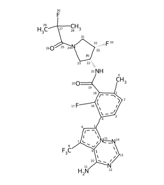 Cc1ccc(-c2cc(C(F)(F)F)c3c(N)ncnn23)c(F)c1C(=O)N[C@@H]1CN(C(=O)C(C)(C)F)C[C@@H]1F